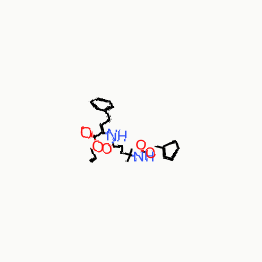 C=CCOC(=O)C(CCc1ccccc1)NC(=O)CCC(C)(C)NC(=O)OCc1ccccc1